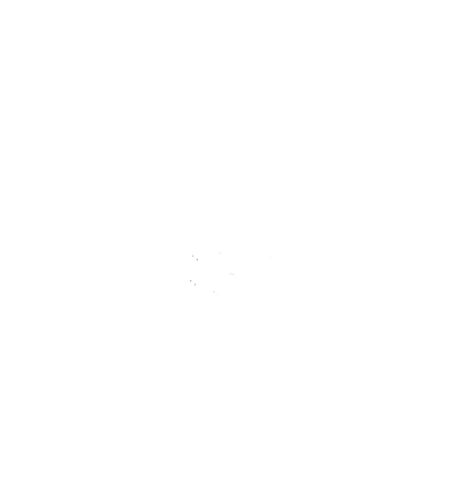 CC(C)CC1(c2ccccc2)N=NN=N1